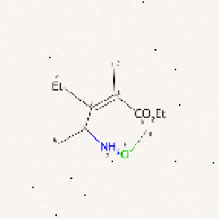 CCOC(=O)C(C)=C(CC)C(C)N.CCl